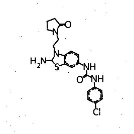 NC1Sc2cc(NC(=O)Nc3ccc(Cl)cc3)ccc2N1CCN1CCCC1=O